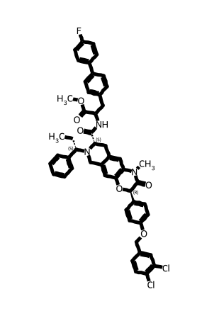 CC[C@@H](c1ccccc1)N1Cc2cc3c(cc2C[C@H]1C(=O)NC(Cc1ccc(-c2ccc(F)cc2)cc1)C(=O)OC)N(C)C(=O)[C@@H](c1ccc(OCc2ccc(Cl)c(Cl)c2)cc1)O3